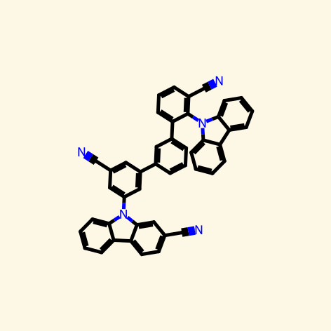 N#Cc1cc(-c2cccc(-c3cccc(C#N)c3-n3c4ccccc4c4ccccc43)c2)cc(-n2c3ccccc3c3ccc(C#N)cc32)c1